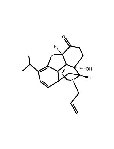 C=CCN1CC[C@@]23C4C5=C(C(C)C)C=CC4C[C@@H]1[C@]2(O)CCC(=O)[C@@H]3O5